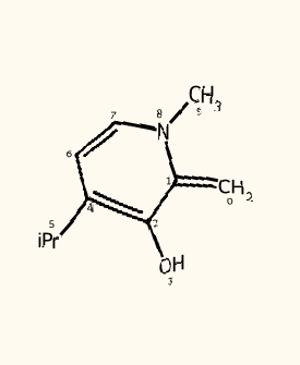 C=C1C(O)=C(C(C)C)C=CN1C